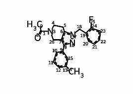 CC(=O)N1CCc2c(c(-c3cccc(C)c3)nn2Cc2ccccc2F)C1